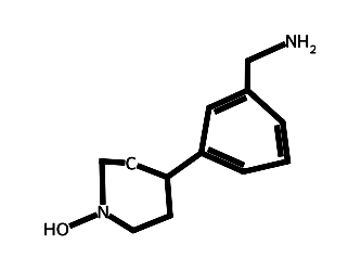 NCc1cccc(C2CCN(O)CC2)c1